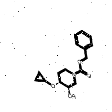 O=C(OCc1ccccc1)N1CC[C@@H](OC2CC2)[C@H](O)C1